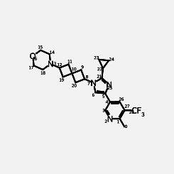 Cc1ncc(-c2cn(C3CC4(CC(N5CCOCC5)C4)C3)c(C3CC3)n2)cc1C(F)(F)F